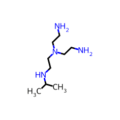 CC(C)NCCN(CCN)CCN